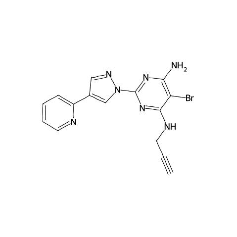 C#CCNc1nc(-n2cc(-c3ccccn3)cn2)nc(N)c1Br